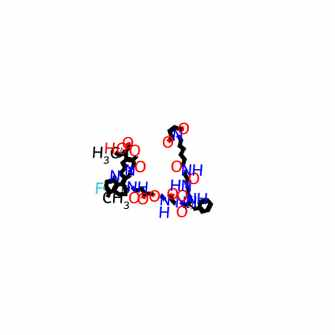 CC[C@@]1(O)C(=O)OCc2c1cc1n(c2=O)Cc2c-1nc1cc(F)c(C)c3c1c2[C@@H](NC(=O)CC(=O)COCNC(=O)CNC(=O)[C@H](Cc1ccccc1)NC(=O)CNC(=O)CNC(=O)CCCCCN1C(=O)C=CC1=O)CC3